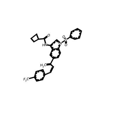 C=C(/C=C\c1ccc(C(F)(F)F)cc1)c1ccc2c(c1)c(NC(=O)C1CCC1)cn2S(=O)(=O)c1ccccc1